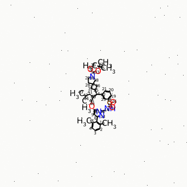 Cc1cccc(C)c1-c1cc2nc(n1)NS(=O)(=O)c1cccc(c1)C(C1CC3(CCN(C(=O)OC(C)(C)C)C3)C1)[C@H](CC(C)C)CO2